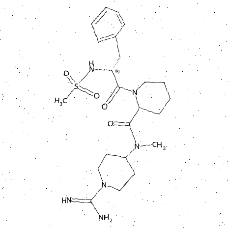 CN(C(=O)C1CCCCN1C(=O)[C@@H](Cc1ccccc1)NS(C)(=O)=O)C1CCN(C(=N)N)CC1